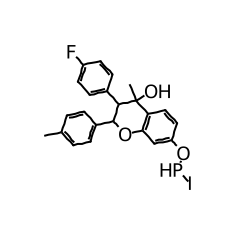 Cc1ccc(C2Oc3cc(OPI)ccc3C(C)(O)C2c2ccc(F)cc2)cc1